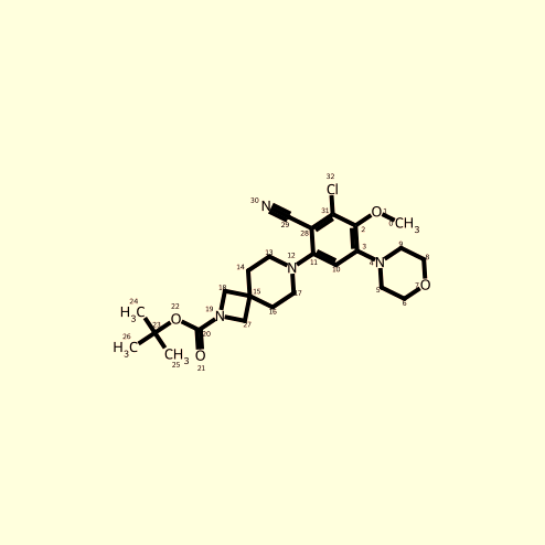 COc1c(N2CCOCC2)cc(N2CCC3(CC2)CN(C(=O)OC(C)(C)C)C3)c(C#N)c1Cl